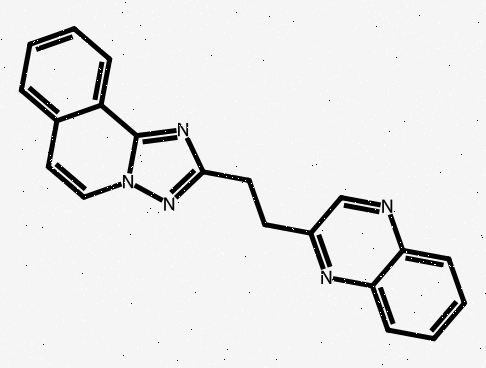 c1ccc2c(c1)ccn1nc(CCc3cnc4ccccc4n3)nc21